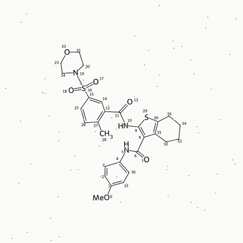 COc1ccc(NC(=O)c2c(NC(=O)c3cc(S(=O)(=O)N4CCOCC4)ccc3C)sc3c2CCCC3)cc1